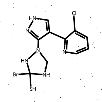 SC1(Br)NCN(c2n[nH]cc2-c2ncccc2Cl)N1